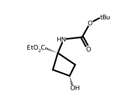 CCOC(=O)[C@]1(NC(=O)OC(C)(C)C)C[C@H](O)C1